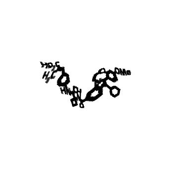 COc1ccc2c(c1)OCCn1c-2c(C2CCCCC2)c2ccc(C(=O)NC3(C(=O)Nc4ccc(/C=C(\C)C(=O)O)cc4)CCC3)cc21